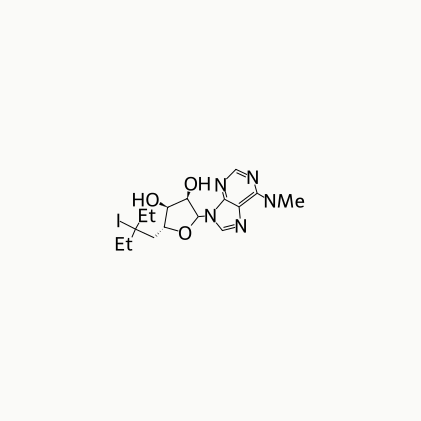 CCC(I)(CC)C[C@H]1OC(n2cnc3c(NC)ncnc32)[C@H](O)[C@@H]1O